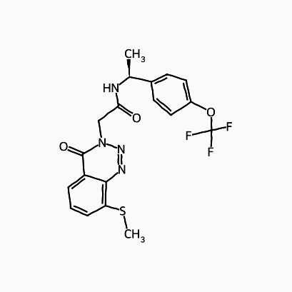 CSc1cccc2c(=O)n(CC(=O)N[C@@H](C)c3ccc(OC(F)(F)F)cc3)nnc12